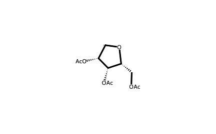 CC(=O)OC[C@H]1O[CH][C@@H](OC(C)=O)[C@H]1OC(C)=O